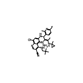 Cc1nc(F)ccc1[C@H](Nc1cc(Cl)c2ncc(C#N)c(NCC(C)(C)C)c2c1)/C(NN)=C(\I)NC1(C)CC1